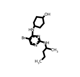 CCCC(C)Nc1ncc(Br)c(NC2CCC(O)CC2)n1